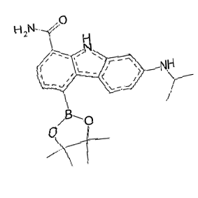 CC(C)Nc1ccc2c(c1)[nH]c1c(C(N)=O)ccc(B3OC(C)(C)C(C)(C)O3)c12